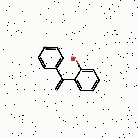 C=C(c1cc[c]cc1)c1ccccc1Br